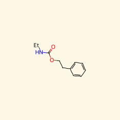 [CH2]CNC(=O)OCCc1ccccc1